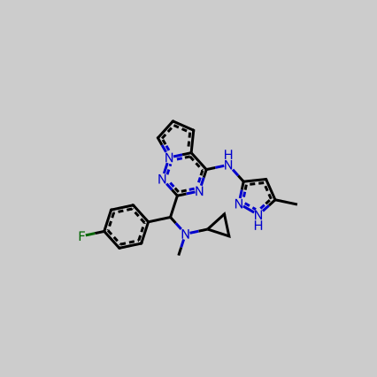 Cc1cc(Nc2nc(C(c3ccc(F)cc3)N(C)C3CC3)nn3cccc23)n[nH]1